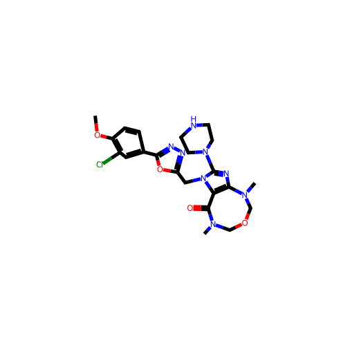 COc1ccc(-c2nnc(Cn3c(N4CCNCC4)nc4c3C(=O)N(C)COCN4C)o2)cc1Cl